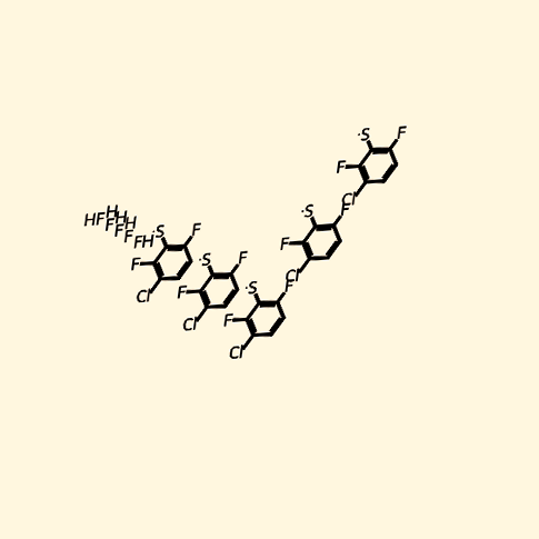 F.F.F.F.F.Fc1ccc(Cl)c(F)c1[S].Fc1ccc(Cl)c(F)c1[S].Fc1ccc(Cl)c(F)c1[S].Fc1ccc(Cl)c(F)c1[S].Fc1ccc(Cl)c(F)c1[S]